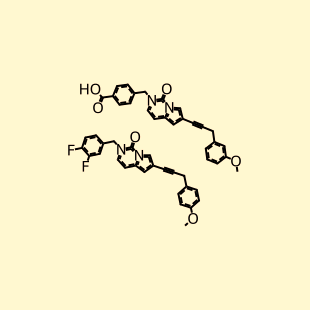 COc1ccc(CC#Cc2cc3ccn(Cc4ccc(F)c(F)c4)c(=O)n3c2)cc1.COc1cccc(CC#Cc2cc3ccn(Cc4ccc(C(=O)O)cc4)c(=O)n3c2)c1